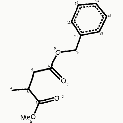 COC(=O)C(C)CC(=O)OCc1ccccc1